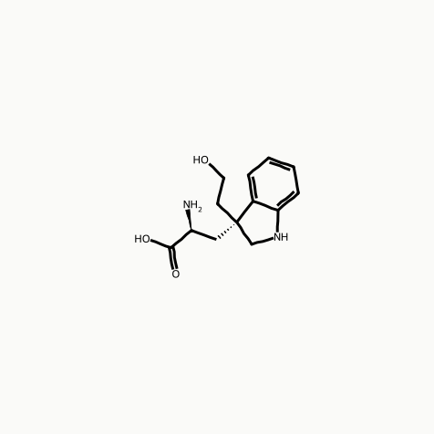 N[C@@H](C[C@@]1(CCO)CNc2ccccc21)C(=O)O